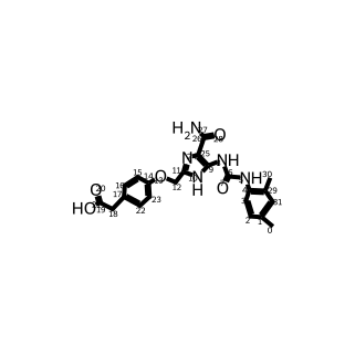 Cc1ccc(NC(=O)Nc2[nH]c(COc3ccc(CC(=O)O)cc3)nc2C(N)=O)c(C)c1